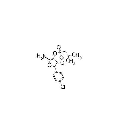 CC(C)CS(=O)(=O)OC1=C(N)OC(c2ccc(Cl)cc2)C1=O